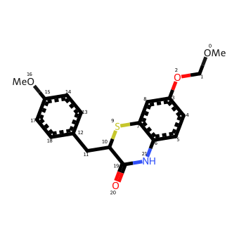 COCOc1ccc2c(c1)SC(Cc1ccc(OC)cc1)C(=O)N2